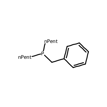 CCCCCP(CCCCC)Cc1ccccc1